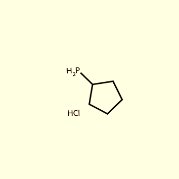 Cl.PC1CCCC1